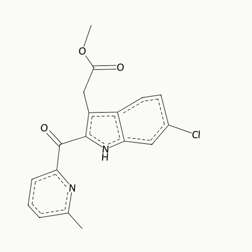 COC(=O)Cc1c(C(=O)c2cccc(C)n2)[nH]c2cc(Cl)ccc12